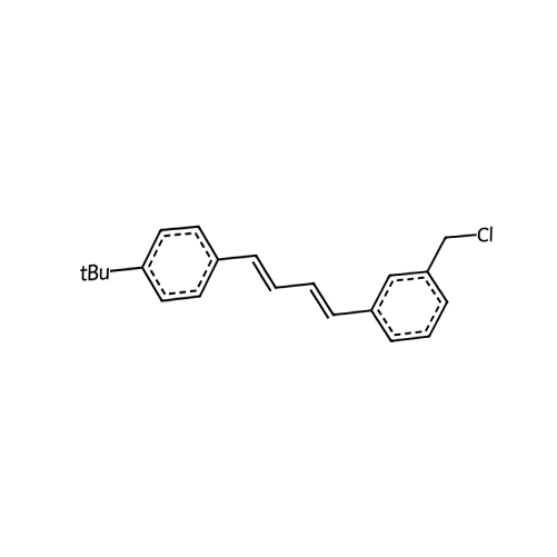 CC(C)(C)c1ccc(C=CC=Cc2cccc(CCl)c2)cc1